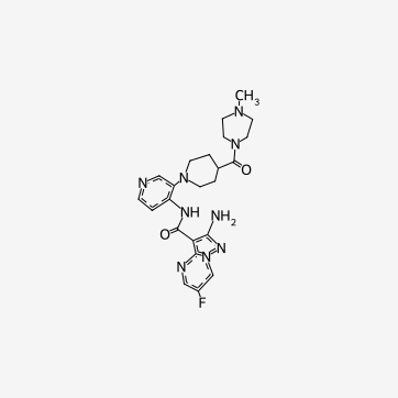 CN1CCN(C(=O)C2CCN(c3cnccc3NC(=O)c3c(N)nn4cc(F)cnc34)CC2)CC1